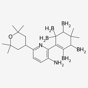 BC1=C(c2nc(C3CC(C)(C)OC(C)(C)C3)ccc2N)C(B)(B)C(B)C(C)(C)C1B